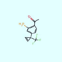 CC(=O)c1ccc(C2(C(F)(F)F)C=C2)cc1P